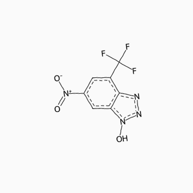 O=[N+]([O-])c1cc(C(F)(F)F)c2nnn(O)c2c1